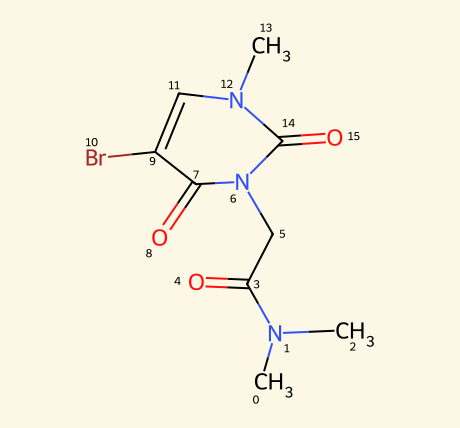 CN(C)C(=O)Cn1c(=O)c(Br)cn(C)c1=O